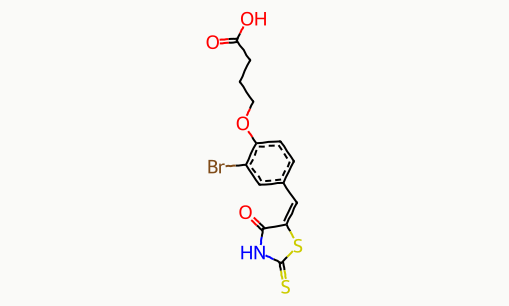 O=C(O)CCCOc1ccc(/C=C2/SC(=S)NC2=O)cc1Br